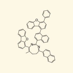 C/C1=C(c2cccc3c2oc2ccccc23)/N=C(c2ccc(-c3ccc(-c4ccccc4)c4oc5ccccc5c34)c3ccccc23)\N=C(\c2ccc3ccccc3c2)CC1